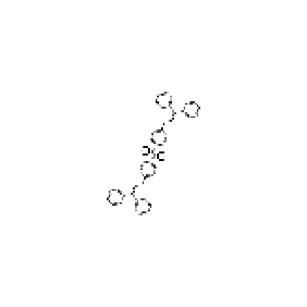 O=S(=O)(c1ccc(CC=C(c2ccccc2)c2ccccc2)cc1)c1ccc(CC=C(c2ccccc2)c2ccccc2)cc1